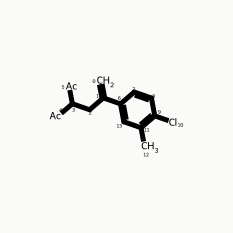 C=C(CC(C(C)=O)C(C)=O)c1ccc(Cl)c(C)c1